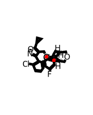 OC1(c2cccc(F)c2)[C@@H]2COC[C@H]1CC(OCc1c(-c3c(Cl)cccc3Cl)noc1C1CC1)C2